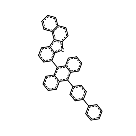 c1ccc(-c2ccc(-c3c4ccccc4c(-c4cccc5c4oc4ccc6ccccc6c45)c4ccccc34)cc2)cc1